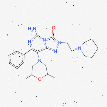 CC1CN(c2c(-c3ccccc3)nc(N)n3c(=O)n(CCN4CCCCC4)nc23)CC(C)O1